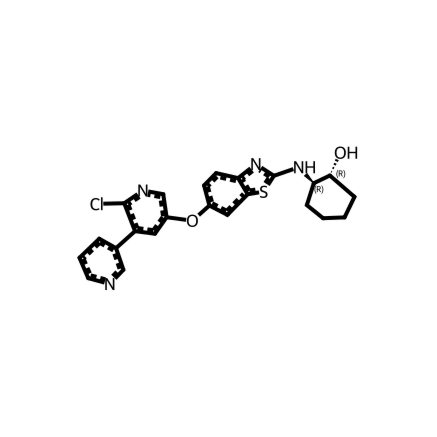 O[C@@H]1CCCC[C@H]1Nc1nc2ccc(Oc3cnc(Cl)c(-c4cccnc4)c3)cc2s1